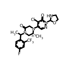 CC(c1ccc(F)cc1C(F)(F)F)N1C[C@@H](C)N(c2cnn(C3NCCO3)c(=O)c2Cl)CC1=O